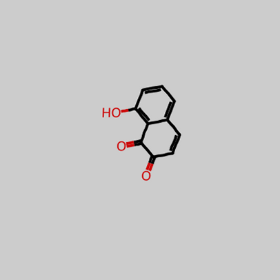 O=C1C=Cc2cccc(O)c2C1=O